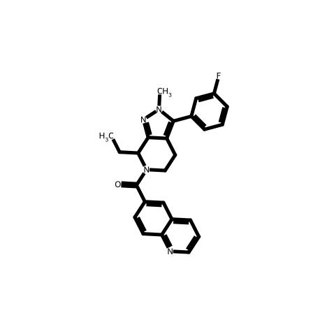 CCC1c2nn(C)c(-c3cccc(F)c3)c2CCN1C(=O)c1ccc2ncccc2c1